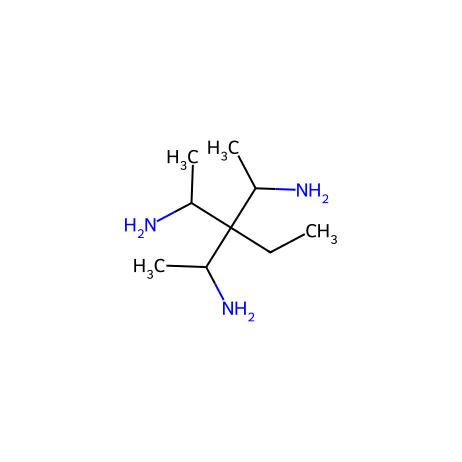 CCC(C(C)N)(C(C)N)C(C)N